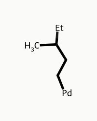 CCC(C)C[CH2][Pd]